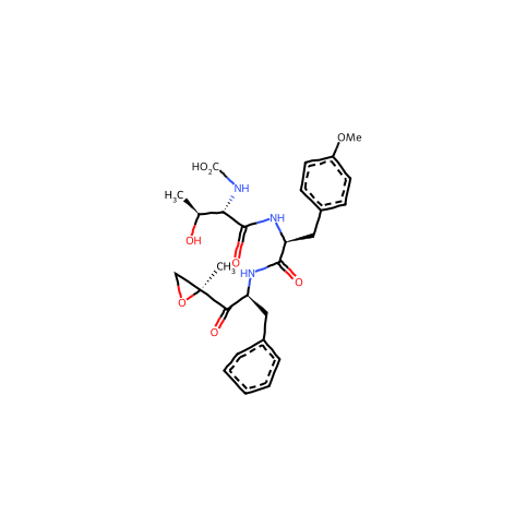 COc1ccc(C[C@H](NC(=O)[C@@H](NC(=O)O)[C@H](C)O)C(=O)N[C@@H](Cc2ccccc2)C(=O)[C@]2(C)CO2)cc1